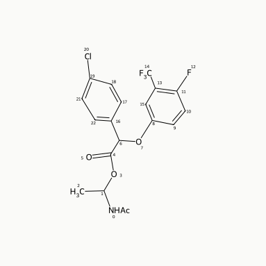 CC(=O)NC(C)OC(=O)C(Oc1ccc(F)c(C(F)(F)F)c1)c1ccc(Cl)cc1